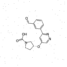 O=Cc1cccc(-c2cc(O[C@@H]3CCN(C(=O)O)C3)cnn2)c1